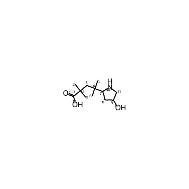 CC(C)(CC(C)(C)C1CC(O)CN1)C(=O)O